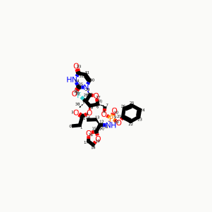 CCC(=O)O[C@@H]1[C@@H](COP(=O)(N[C@H](CC)C2OCCO2)Oc2ccccc2)O[C@@H](n2ccc(=O)[nH]c2=O)[C@]1(C)F